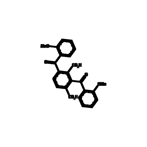 COc1ccccc1C(=O)c1ccc(C(=O)O)c(C(=O)c2ccccc2OC)c1C(=O)O